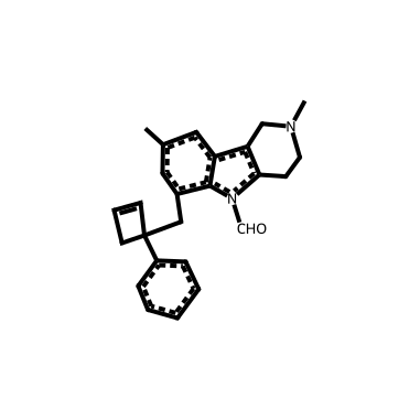 Cc1cc(CC2(c3ccccc3)C=CC2)c2c(c1)c1c(n2C=O)CCN(C)C1